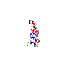 CCOCCS(=O)(=O)c1ncn(C(=O)N(CC)CCl)n1